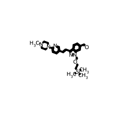 CN1CCN(c2ccc(C=Cc3nn(COCC[Si](C)(C)C)c4cc(C=O)ccc34)cn2)CC1